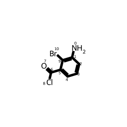 Nc1cccc(C(=O)Cl)c1Br